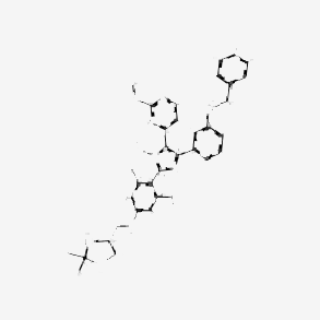 CSc1nccc(-c2c(-c3cccc(OCc4ccccc4)c3)nc(-c3c(Cl)cc(OC[C@H]4COC(C)(C)O4)cc3Cl)n2O)n1